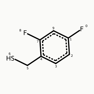 Fc1ccc(CS)c(F)c1